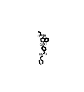 C=CC(=O)NC1CCN(S(=O)(=O)c2ccc(C(=O)NCCN3CCOCC3)cc2)c2ccccc21